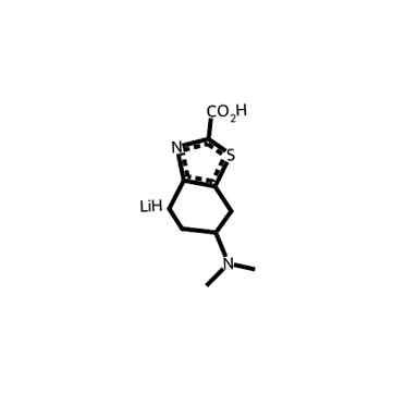 CN(C)C1CCc2nc(C(=O)O)sc2C1.[LiH]